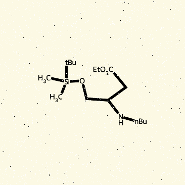 CCCCNC(CO[Si](C)(C)C(C)(C)C)CC(=O)OCC